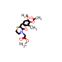 COC(=O)CN1CCS/C(=C/c2cc(C)c(OC(C)=O)c(OC)c2)C1=O